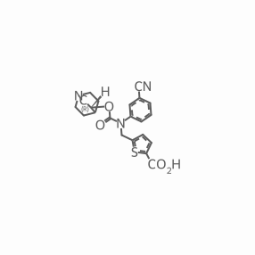 N#Cc1cccc(N(Cc2ccc(C(=O)O)s2)C(=O)O[C@H]2CN3CCC2CC3)c1